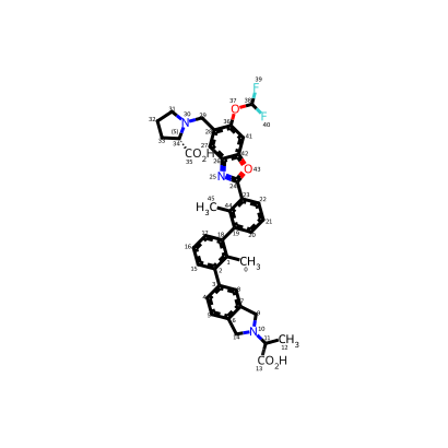 Cc1c(-c2ccc3c(c2)CN(C(C)C(=O)O)C3)cccc1-c1cccc(-c2nc3cc(CN4CCC[C@H]4C(=O)O)c(OC(F)F)cc3o2)c1C